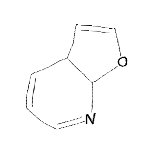 C1=CC2C=COC2N=C1